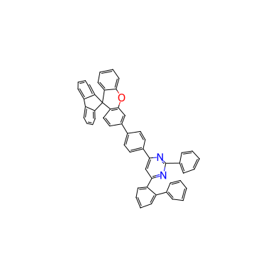 c1ccc(-c2nc(-c3ccc(-c4ccc5c(c4)Oc4ccccc4C54c5ccccc5-c5ccccc54)cc3)cc(-c3ccccc3-c3ccccc3)n2)cc1